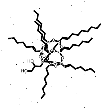 CCCCC/C=C/[Si]12O[Si]3(/C=C/CCCCC)O[Si]4(CCCCCCC)O[Si](/C=C/CCCCC)(O1)O[Si]1(CC(O)CO)O[Si](/C=C/CCCCCCC)(O2)O[Si](CCCCCCC)(O3)O[Si](/C=C/CCCCC)(O4)O1